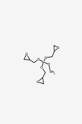 [SiH3]O[Si](OCC1CO1)(OCC1CO1)OCC1CO1